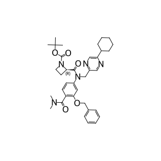 CN(C)C(=O)c1ccc(N(Cc2cnc(C3CCCCC3)cn2)C(=O)[C@H]2CCN2C(=O)OC(C)(C)C)cc1OCc1ccccc1